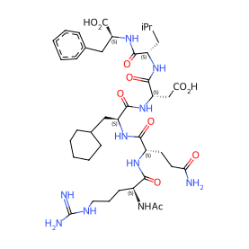 CC(=O)N[C@@H](CCCNC(=N)N)C(=O)N[C@@H](CCC(N)=O)C(=O)N[C@@H](CC1CCCCC1)C(=O)N[C@@H](CC(=O)O)C(=O)N[C@@H](CC(C)C)C(=O)N[C@@H](Cc1ccccc1)C(=O)O